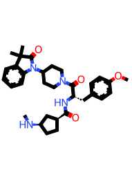 CN[C@@H]1CC[C@H](C(=O)N[C@@H](Cc2ccc(OC)cc2)C(=O)N2CCC(N3C(=O)C(C)(C)c4ccccc43)CC2)C1